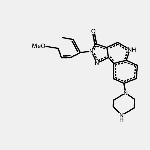 C/C=C(\C=C/COC)n1nc2c3cc(N4CCNCC4)ccc3[nH]cc-2c1=O